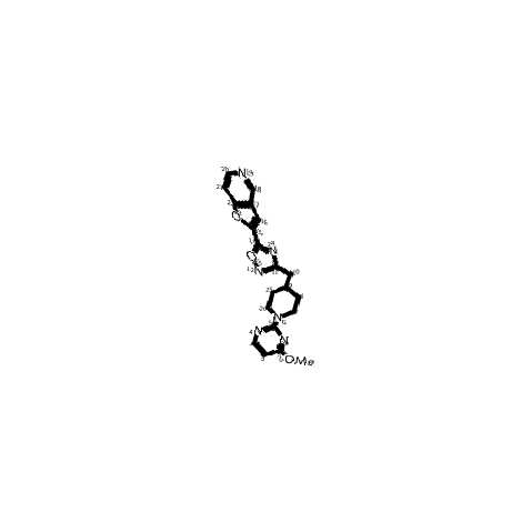 COc1ccnc(N2CCC(Cc3noc(-c4cc5cnccc5o4)n3)CC2)n1